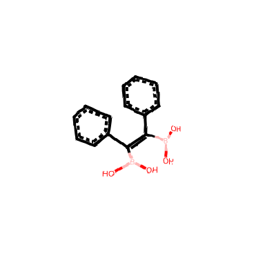 OB(O)C(=C(B(O)O)c1ccccc1)c1ccccc1